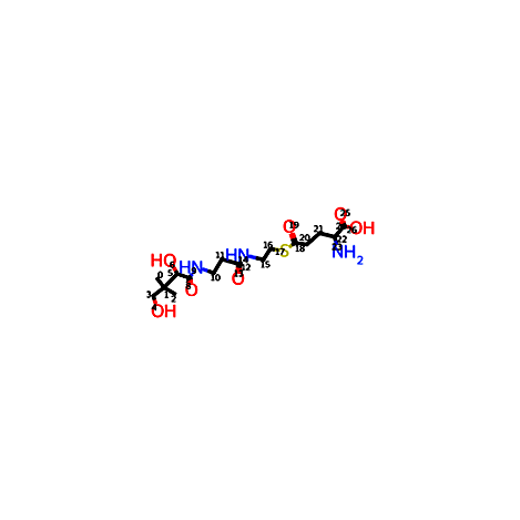 CC(C)(CO)C(O)C(=O)NCCC(=O)NCCSC(=O)CCC(N)C(=O)O